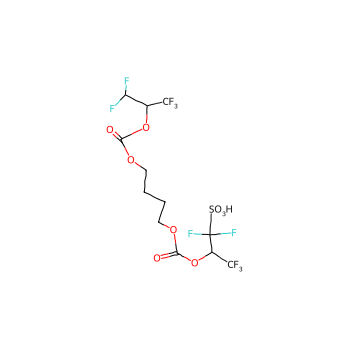 O=C(OCCCCOC(=O)OC(C(F)(F)F)C(F)(F)S(=O)(=O)O)OC(C(F)F)C(F)(F)F